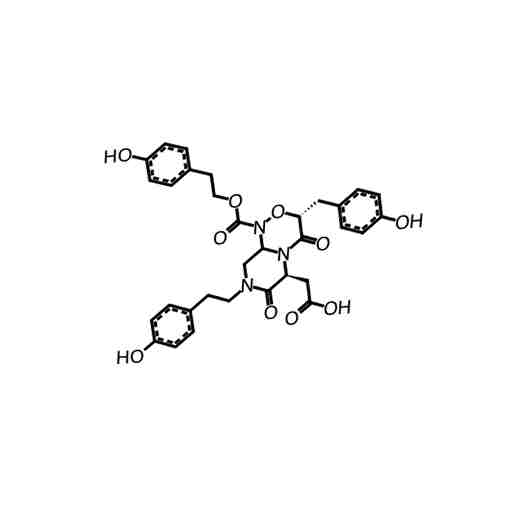 O=C(O)C[C@H]1C(=O)N(CCc2ccc(O)cc2)CC2N(C(=O)OCCc3ccc(O)cc3)O[C@H](Cc3ccc(O)cc3)C(=O)N21